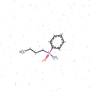 CCCCP(C)(=O)c1ccccc1